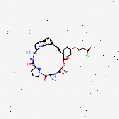 CC(C)[C@@H]1OC(=O)[C@]2(/C=C/c3ccc4ccc(nc4c3)[C@@H](C)NC(=O)[C@@H]3CCCN(N3)C(=O)[C@H](C)NC1=O)CC[C@H](OCCC(=O)Cl)CC2